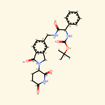 CC(C)(C)OC(=O)N[C@@H](C(=O)NCc1ccc2c(c1)CN(C1CCC(=O)NC1=O)C2=O)c1ccccc1